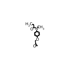 C=CC(=O)N(C)c1ccc(OCC2CO2)cc1